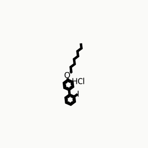 CCCCCCCCOc1ccc(-c2ccccc2I)cc1.Cl